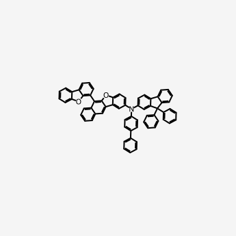 c1ccc(-c2ccc(N(c3ccc4c(c3)C(c3ccccc3)(c3ccccc3)c3ccccc3-4)c3ccc4oc5c(-c6cccc7c6oc6ccccc67)c6ccccc6cc5c4c3)cc2)cc1